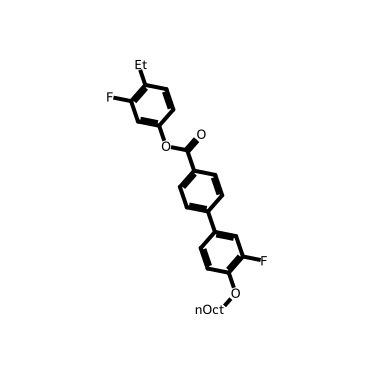 CCCCCCCCOc1ccc(-c2ccc(C(=O)Oc3ccc(CC)c(F)c3)cc2)cc1F